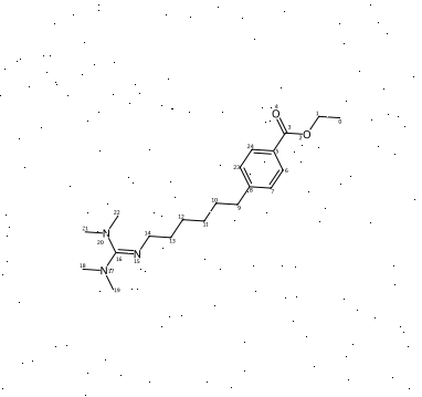 CCOC(=O)c1ccc(CCCCCCN=C(N(C)C)N(C)C)cc1